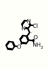 NC(=O)c1cc(Oc2ccccc2)ccc1[CH]c1nccnc1Cl